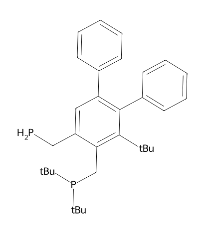 CC(C)(C)c1c(CP(C(C)(C)C)C(C)(C)C)c(CP)cc(-c2ccccc2)c1-c1ccccc1